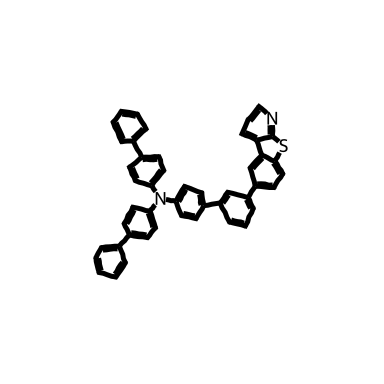 c1ccc(-c2ccc(N(c3ccc(-c4ccccc4)cc3)c3ccc(-c4cccc(-c5ccc6sc7ncccc7c6c5)c4)cc3)cc2)cc1